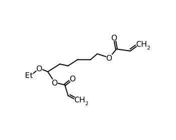 C=CC(=O)OCCCCCC(OCC)OC(=O)C=C